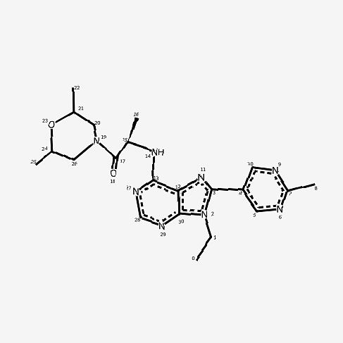 CCn1c(-c2cnc(C)nc2)nc2c(N[C@H](C)C(=O)N3CC(C)OC(C)C3)ncnc21